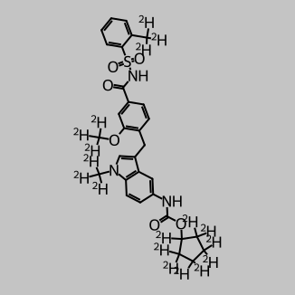 [2H]C([2H])([2H])Oc1cc(C(=O)NS(=O)(=O)c2ccccc2C([2H])([2H])[2H])ccc1Cc1cn(C([2H])([2H])[2H])c2ccc(NC(=O)OC3([2H])C([2H])([2H])C([2H])([2H])C([2H])([2H])C3([2H])[2H])cc12